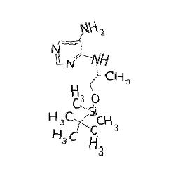 CC(CO[Si](C)(C)C(C)(C)C)Nc1ncncc1N